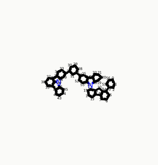 c1ccc(-c2cccc3c2Cc2c-3cccc2-n2c3ccccc3c3cc(-c4cccc(-c5ccc6c7cccc8c9ccccc9n(c6c5)c87)c4)ccc32)cc1